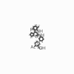 CC(=O)N1CCN(C2CCC[C@@H](NC(=O)C3Nc4c(C)ccc(F)c4C3C3CCCC3)C2)C[C@H]1CO